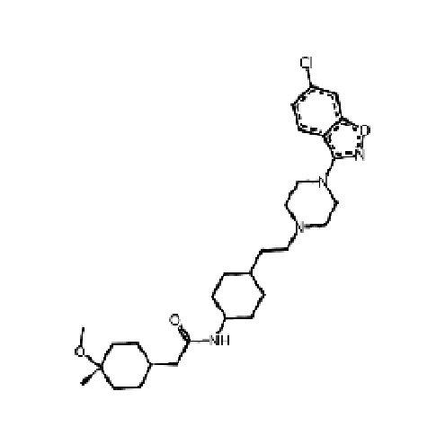 CO[C@]1(C)CC[C@@H](CC(=O)NC2CCC(CCN3CCN(c4noc5cc(Cl)ccc45)CC3)CC2)CC1